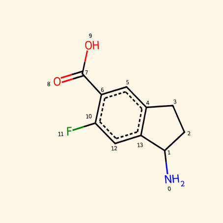 NC1CCc2cc(C(=O)O)c(F)cc21